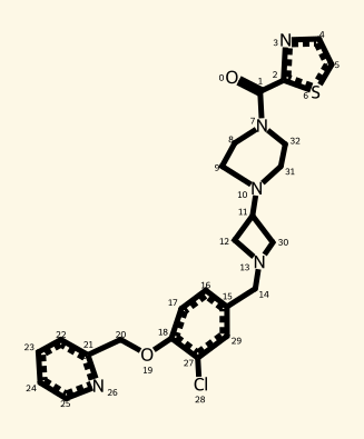 O=C(c1nccs1)N1CCN(C2CN(Cc3ccc(OCc4ccccn4)c(Cl)c3)C2)CC1